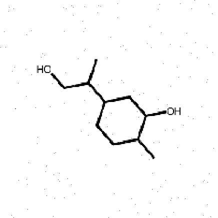 CC1CCC(C(C)CO)CC1O